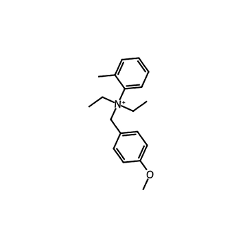 CC[N+](CC)(Cc1ccc(OC)cc1)c1ccccc1C